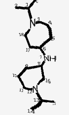 CC(C)N1CCC(NC2CCCN(C(C)C)C2)CC1